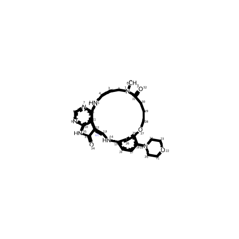 CN1CCCNc2ncnc3c2/C(=C/Nc2ccc(N4CCOCC4)c(c2)OCCCC1=O)C(=O)N3